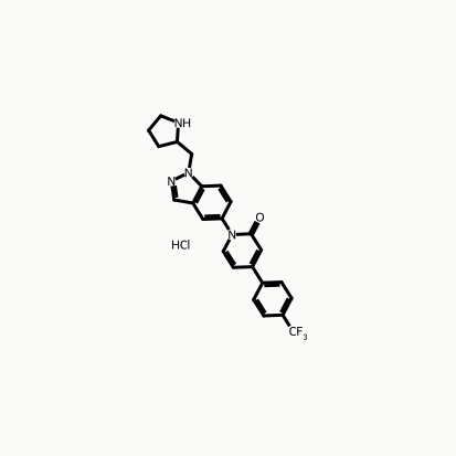 Cl.O=c1cc(-c2ccc(C(F)(F)F)cc2)ccn1-c1ccc2c(cnn2CC2CCCN2)c1